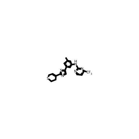 Cc1cc(Nc2nccc(C(F)(F)F)n2)cc(-c2cnc(C3=CCSCC3)s2)c1